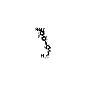 CCCCc1ccc(C#Cc2ccc(-c3cc(F)c(N=C=S)cc3F)cc2)cc1